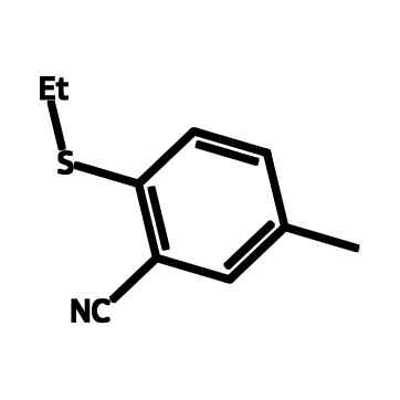 CCSc1ccc(C)cc1C#N